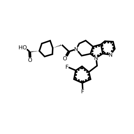 O=C(C[C@H]1CC[C@@H](C(=O)O)CC1)N1CCc2c(n(Cc3cc(F)cc(F)c3)c3ncccc23)C1